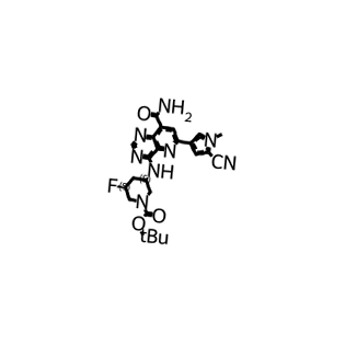 Cn1cc(-c2cc(C(N)=O)c3ncnc(N[C@H]4C[C@H](F)CN(C(=O)OC(C)(C)C)C4)c3n2)cc1C#N